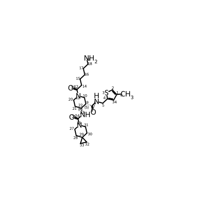 Cc1csc(CNC(=O)[C@H]2CN(C(=O)CCCCCN)CC[C@H]2NC(=O)N2CCC3(CC2)CC3)c1